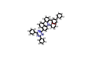 c1ccc(-c2cccc(-c3cccc4c3N(c3ccccc3)c3ccc(-c5nc(-c6ccccc6)nc(-c6ccccc6)n5)c5cccc-4c35)c2)cc1